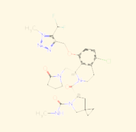 CNC(=O)N1CC2(CC2)C[C@H]1C(=O)N1CCc2c(Cl)ccc(OCc3nnn(C)c3C(F)F)c2[C@H]1CN1CCCC1=O